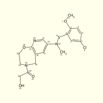 COc1ccc(Cl)cc1SN(C)c1cnc2c(c1)CN(C(=O)CO)CCO2